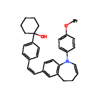 CC(C)Oc1ccc(N2C=CCCc3cc(/C=C\c4ccc(C5(O)CCCCC5)cc4)ccc32)cc1